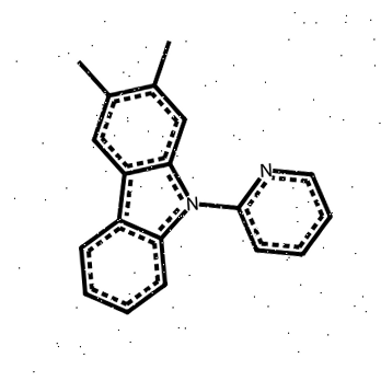 Cc1cc2c3ccccc3n(-c3ccccn3)c2cc1C